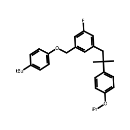 CC(C)Oc1ccc(C(C)(C)Cc2cc(F)cc(COc3ccc(C(C)(C)C)cc3)c2)cc1